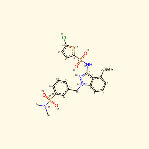 COc1cccc2c1c(NS(=O)(=O)c1ccc(Cl)s1)nn2Cc1cccc(S(=O)(=O)N(C)C)c1